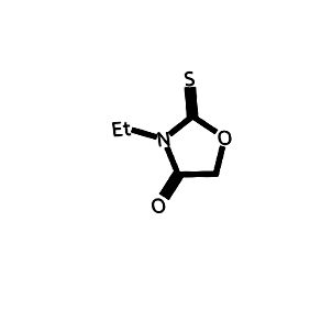 CCN1C(=O)COC1=S